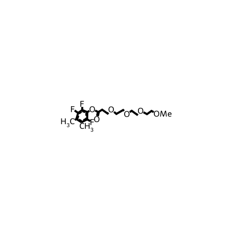 COCCOCCOCCOCCC(=O)Oc1c(F)c(C)c(C)c(F)c1F